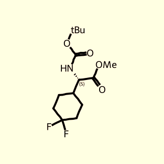 COC(=O)[C@@H](NC(=O)OC(C)(C)C)C1CCC(F)(F)CC1